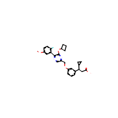 COc1ccc(F)c(-c2ncc(COc3cccc(C(CC(=O)O)C4CC4)c3)nc2OC2CCC2)c1